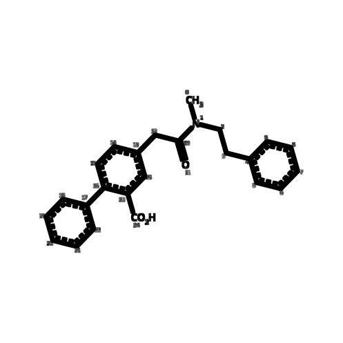 CN(CCc1ccccc1)C(=O)Cc1ccc(-c2ccccc2)c(C(=O)O)c1